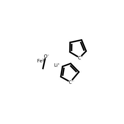 C[O-].[Fe+2].[Li+].c1cc[cH-]c1.c1cc[cH-]c1